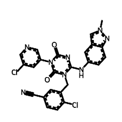 Cn1cc2cc(Nc3nc(=O)n(-c4cncc(Cl)c4)c(=O)n3Cc3cc(C#N)ccc3Cl)ccc2n1